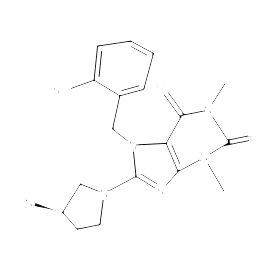 Cn1c(=O)c2c(nc(N3CC[C@@H](N)C3)n2Cc2ccccc2C#N)n(C)c1=O